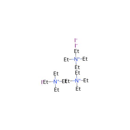 CC[N+](CC)(CC)CC.CC[N+](CC)(CC)CC.CC[N+](CC)(CC)CC.[I-].[I-].[I-]